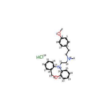 COc1ccc(CCN(C)CCN2c3ccccc3COc3ccccc32)cc1.Cl